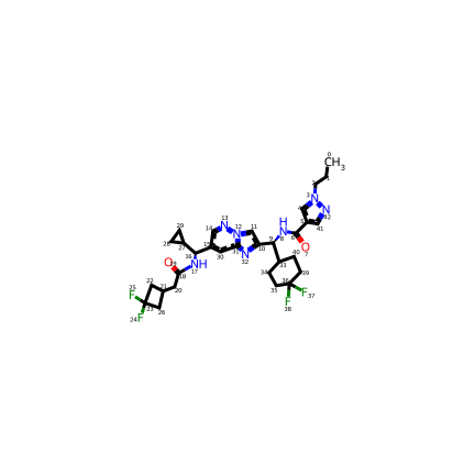 CCCn1cc(C(=O)N[C@H](c2cn3ncc([C@@H](NC(=O)CC4CC(F)(F)C4)C4CC4)cc3n2)C2CCC(F)(F)CC2)cn1